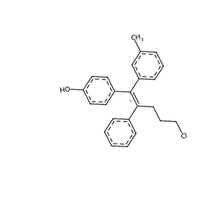 Cc1cccc(/C(=C(\CCCCl)c2ccccc2)c2ccc(O)cc2)c1